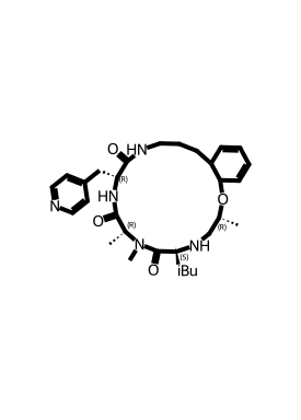 CCC(C)[C@@H]1NC[C@@H](C)OC2C=CC=CC2CCCNC(=O)[C@@H](Cc2ccncc2)NC(=O)[C@@H](C)N(C)C1=O